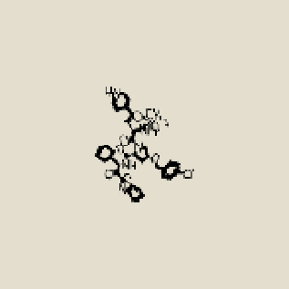 CS(=O)(=O)N[C@H](CCC1CCNCC1)C(=O)N1C[C@H](OCc2ccc(Cl)cc2)C[C@H]1C(=O)N[C@H](C(=O)c1nc2ccccc2o1)C1CCCCC1